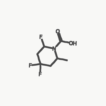 CC1CC(F)(F)CC(F)N1C(=O)O